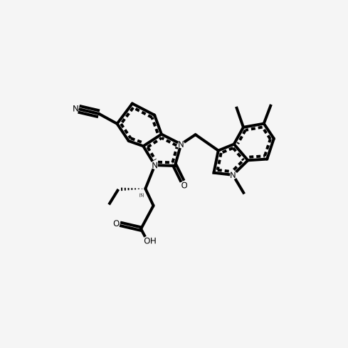 CC[C@@H](CC(=O)O)n1c(=O)n(Cc2cn(C)c3ccc(C)c(C)c23)c2ccc(C#N)cc21